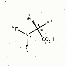 CC(C)[C@@](F)(C(=O)O)N(F)F